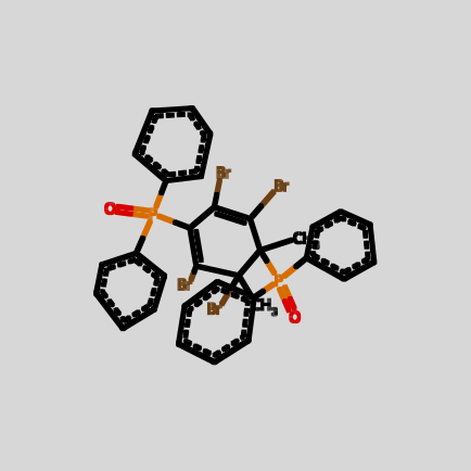 CC1(Br)C(Br)=C(P(=O)(c2ccccc2)c2ccccc2)C(Br)=C(Br)C1(C)P(=O)(c1ccccc1)c1ccccc1